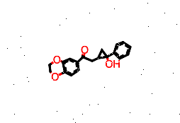 O=C(CC1CC1(O)c1ccccc1)c1ccc2c(c1)OCCO2